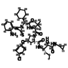 CCC[C@H](NC(=O)[C@@H]1C[C@@H](Oc2ccc(Cl)cn2)CN1C(=O)[C@@H](NC(=O)[C@H](C1CCCCC1)N1C(=S)N1c1ccccc1N)C(C)(C)C)C(O)C(=O)NC1CC1